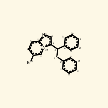 Brc1ccc2ncc(C(Sc3ccccc3)c3ccccc3)n2c1